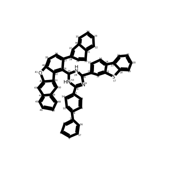 c1ccc(-c2ccc(C3=NC(c4ccc5c(c4)sc4ccccc45)NC(c4c(-c5ccc6ccccc6c5)ccc5oc6cc7ccccc7cc6c45)N3)cc2)cc1